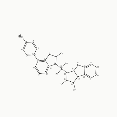 CC1Cc2c(-c3ccc(C(C)(C)C)cc3)cccc2C1S(C)(C)C1C(C)C(C)C2c3ccccc3OC21